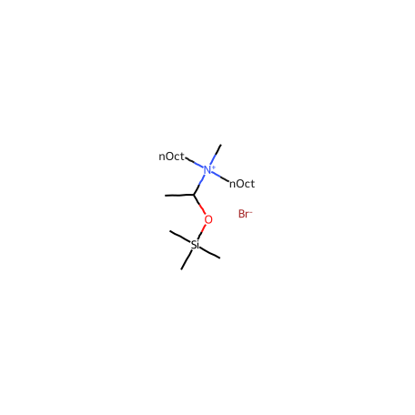 CCCCCCCC[N+](C)(CCCCCCCC)C(C)O[Si](C)(C)C.[Br-]